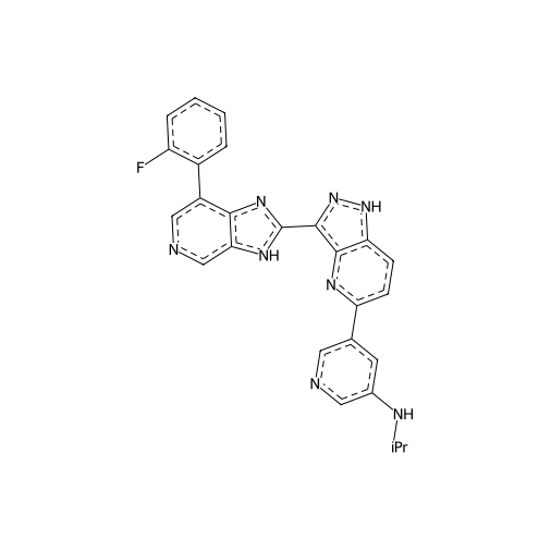 CC(C)Nc1cncc(-c2ccc3[nH]nc(-c4nc5c(-c6ccccc6F)cncc5[nH]4)c3n2)c1